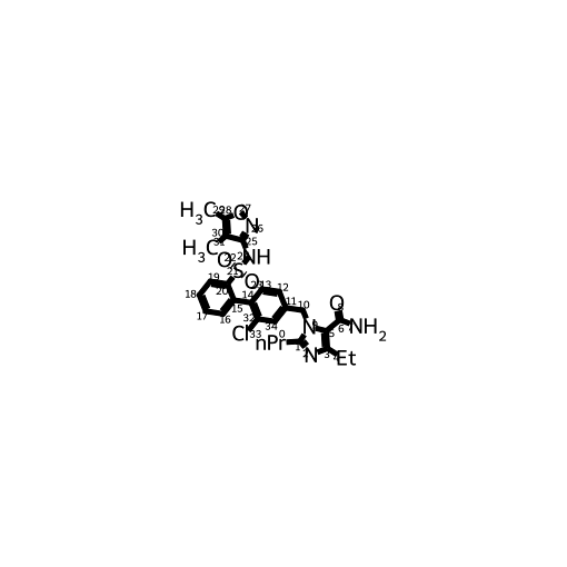 CCCc1nc(CC)c(C(N)=O)n1Cc1ccc(-c2ccccc2S(=O)(=O)Nc2noc(C)c2C)c(Cl)c1